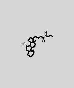 CCCNC(=O)CC[C@@H](C)C1CCC2C3C(O)CC4CCCCC4(C)C3CCC21C